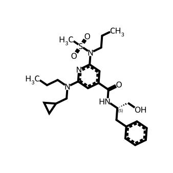 CCCN(CC1CC1)c1cc(C(=O)N[C@H](CO)Cc2ccccc2)cc(N(CCC)S(C)(=O)=O)n1